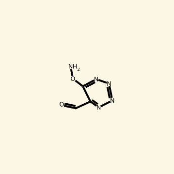 NOc1nnnnc1C=O